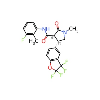 Cc1c(F)cccc1NC(=O)[C@H]1C(=O)N(C)C[C@@H]1c1ccc2c(c1)C(F)(F)C(F)(F)O2